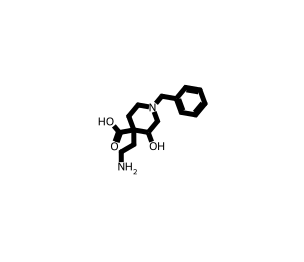 NCCC1(C(=O)O)CCN(Cc2ccccc2)CC1O